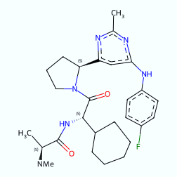 CN[C@@H](C)C(=O)N[C@H](C(=O)N1CCC[C@H]1c1cc(Nc2ccc(F)cc2)nc(C)n1)C1CCCCC1